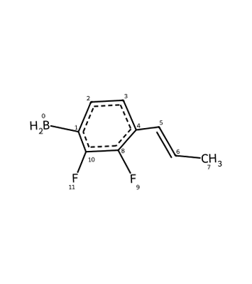 Bc1ccc(C=CC)c(F)c1F